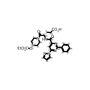 CCOC(=O)ON1CCN(C(=O)[C@H](CCC(=O)O)NC(=O)c2cc(-n3cccn3)nc(-c3ccccc3)n2)CC1